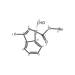 CC(C)(C)OC(=O)[N@+]1(C=O)N=C(F)c2ccccc21